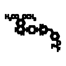 COc1cc2ncnc(N3CCN(c4ncc(Cc5ccc(OC(F)F)cc5)cn4)CC3)c2cc1OC